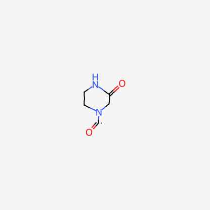 O=[C]N1CCNC(=O)C1